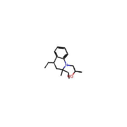 CCC1CC(C)(CC)N(CC(C)O)c2ccccc21